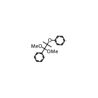 COC(OC)(c1ccccc1)C(C)(C)Oc1cc[c]cc1